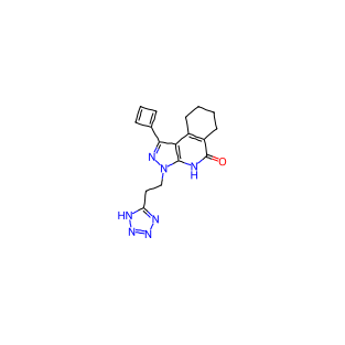 O=c1[nH]c2c(c(C3=CC=C3)nn2CCc2nnn[nH]2)c2c1CCCC2